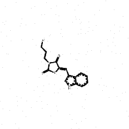 CC(=O)CCCN1C(=O)/C(=C/c2c[nH]c3ccccc23)SC1=S